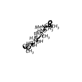 CNC(C(=O)NC(CN(C)C/C=C(\C)C(O)NCC(O)NCCN(C)C(=O)/C=C\C=O)C(C)(C)C)C(C)(C)c1cn(C)c2ccccc12